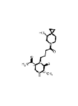 C[C@@H]1NC[C@@H](C(N)=O)N(CCCC(=O)N2CCC3(CC3)[C@H](O)C2)C1=O